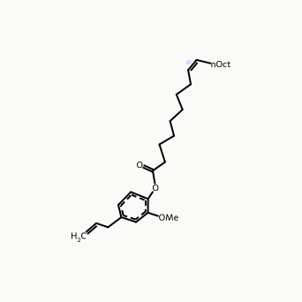 C=CCc1ccc(OC(=O)CCCCCCC/C=C\CCCCCCCC)c(OC)c1